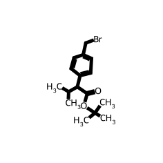 CC(C)C(C(=O)OC(C)(C)C)c1ccc(CBr)cc1